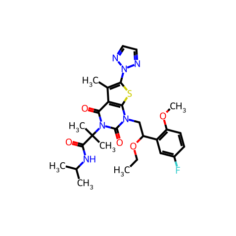 CCOC(Cn1c(=O)n(C(C)(C)C(=O)NC(C)C)c(=O)c2c(C)c(-n3nccn3)sc21)c1cc(F)ccc1OC